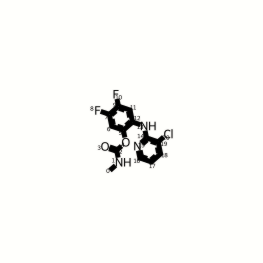 CNC(=O)Oc1cc(F)c(F)cc1Nc1ncccc1Cl